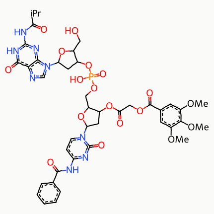 COc1cc(C(=O)OCC(=O)OC2CC(n3ccc(NC(=O)c4ccccc4)nc3=O)OC2COP(=O)(O)OC2CC(n3cnc4c(=O)[nH]c(NC(=O)C(C)C)nc43)OC2CO)cc(OC)c1OC